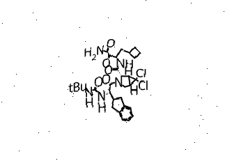 CC(C)(C)NC(=O)N[C@H](C(=O)N1C[C@H]2[C@@H]([C@H]1C(=O)NC(CC1CCC1)C(=O)C(N)=O)C2(Cl)Cl)C1Cc2ccccc2C1